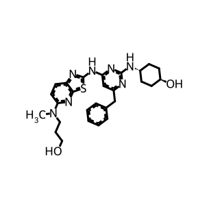 CN(CCCO)c1ccc2nc(Nc3cc(Cc4ccccc4)nc(N[C@H]4CC[C@H](O)CC4)n3)sc2n1